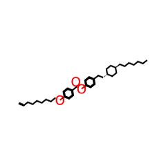 C=CCCCCCCCOc1ccc(C(=O)Oc2ccc(CC[C@H]3CC[C@H](CCCCCCC)CC3)cc2)cc1